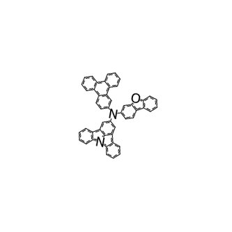 c1ccc2c(c1)oc1cc(N(c3ccc4c5ccccc5c5ccccc5c4c3)c3cc4c5ccccc5n5c6ccccc6c(c3)c45)ccc12